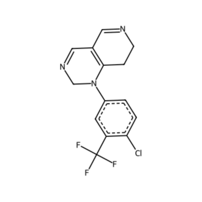 FC(F)(F)c1cc(N2CN=CC3=C2CCN=C3)ccc1Cl